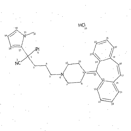 CC(C)C(C#N)(CCCN1CCC(=C2c3ccccc3C=Cc3ccccc32)CC1)c1cccn1C.Cl